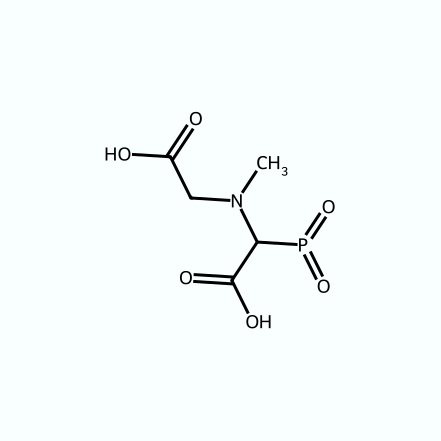 CN(CC(=O)O)C(C(=O)O)P(=O)=O